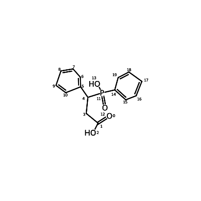 O=C(O)CC(c1ccccc1)P(=O)(O)c1ccccc1